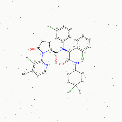 N#Cc1ccnc(N2C(=O)CC[C@H]2C(=O)N(c2cccc(F)c2)[C@H](C(=O)NC2CCC(F)(F)CC2)c2ccccc2Cl)c1F